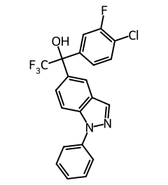 OC(c1ccc(Cl)c(F)c1)(c1ccc2c(cnn2-c2ccccc2)c1)C(F)(F)F